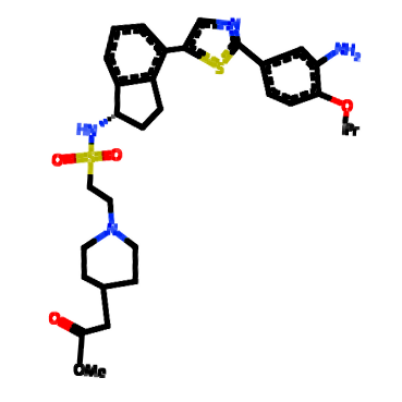 COC(=O)CC1CCN(CCS(=O)(=O)N[C@H]2CCc3c(-c4cnc(-c5ccc(OC(C)C)c(N)c5)s4)cccc32)CC1